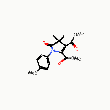 COC(=O)C1=C(C(=O)OC)C(C)(C)C(=O)N1c1ccc(OC)cc1